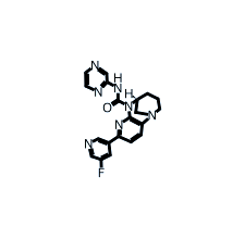 O=C(Nc1cnccn1)N1c2nc(-c3cncc(F)c3)ccc2N2CCC[C@H]1C2